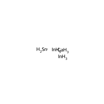 [GaH3].[InH3].[InH3].[SnH2]